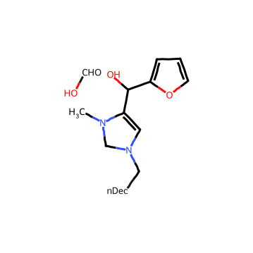 CCCCCCCCCCCN1C=C(C(O)c2ccco2)N(C)C1.O=CO